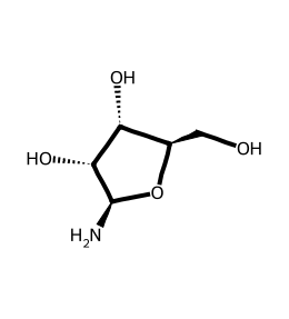 N[C@@H]1O[C@H](CO)[C@@H](O)[C@H]1O